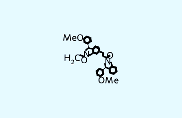 C=CC(=O)N1Cc2cc(/C=C/C(=O)N3Cc4ccccc4[C@@H](c4cccc(OC)c4)C3)ccc2[C@H](c2cccc(OC)c2)C1